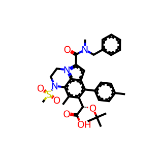 Cc1ccc(-c2c([C@H](OC(C)(C)C)C(=O)O)c(C)c3c4c2cc(C(=O)N(C)Cc2ccccc2)n4CCN3S(C)(=O)=O)cc1